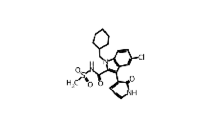 CS(=O)(=O)NC(=O)c1c(-c2ccc[nH]c2=O)c2cc(Cl)ccc2n1CC1CCCCC1